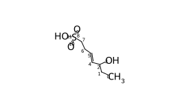 CCC(O)C=CCCS(=O)(=O)O